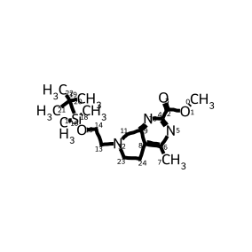 COC(=O)c1nc(C)c2c(n1)CN(CCO[Si](C)(C)C(C)(C)C)CC2